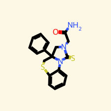 NC(=O)CN1CC2(c3ccccc3)CSc3ccccc3N2C1=S